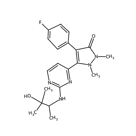 CC(Nc1nccc(-c2c(-c3ccc(F)cc3)c(=O)n(C)n2C)n1)C(C)(C)O